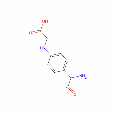 NC([C]=O)c1ccc(NCC(=O)O)cc1